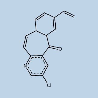 C=CC1=CC2C(=O)c3cc(Cl)cnc3C=CC2C=C1